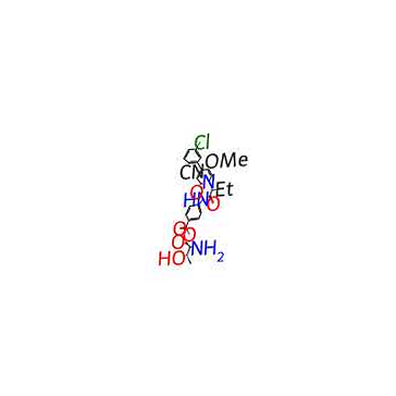 CCC(C(=O)Nc1ccc(C(=O)OC(=O)[C@@H](N)[C@@H](C)O)cc1)n1cc(OC)c(-c2cc(Cl)ccc2C#N)cc1=O